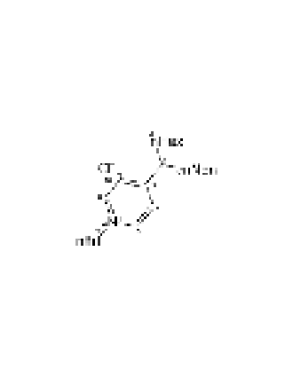 CCCCCCCCCC(CCCCCC)c1cc[n+](CCCC)cc1.[Cl-]